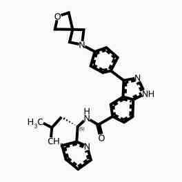 CC(C)C[C@H](NC(=O)c1ccc2[nH]nc(-c3ccc(N4CC5(COC5)C4)cc3)c2c1)c1ccccn1